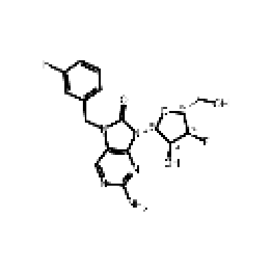 Nc1ncc2c(n1)n([C@@H]1O[C@H](CO)[C@@H](F)[C@H]1O)c(=O)n2Cc1cccc(F)c1